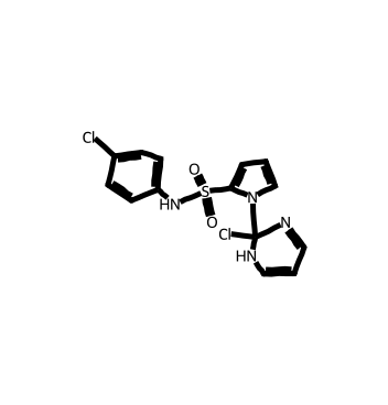 O=S(=O)(Nc1ccc(Cl)cc1)c1cccn1C1(Cl)N=CC=CN1